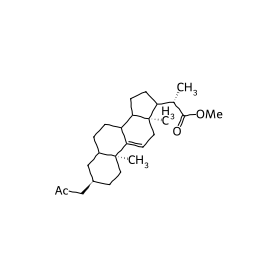 COC(=O)[C@@H](C)C1CCC2C3CCC4C[C@H](CC(C)=O)CC[C@]4(C)C3=CC[C@@]21C